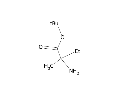 [CH2]CC(C)(N)C(=O)OC(C)(C)C